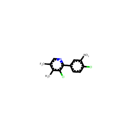 Cc1c(C(F)(F)F)cnc(-c2ccc(Cl)c([N+](=O)[O-])c2)c1Cl